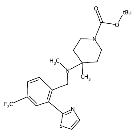 CN(Cc1ccc(C(F)(F)F)cc1-c1nccs1)C1(C)CCN(C(=O)OC(C)(C)C)CC1